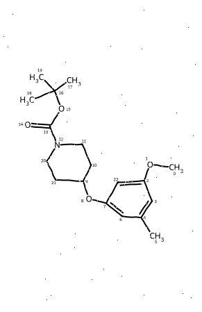 COc1cc(C)cc(OC2CCN(C(=O)OC(C)(C)C)CC2)c1